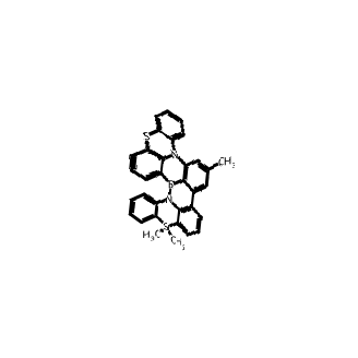 Cc1cc2c3c(c1)N1c4ccccc4Sc4cccc(c41)B3N1c3ccccc3[Si](C)(C)c3cccc-2c31